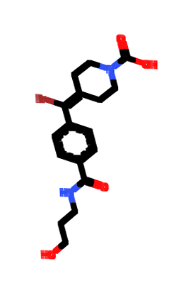 O=C(NCCCO)c1ccc(C(Br)=C2CCN(C(=O)O)CC2)cc1